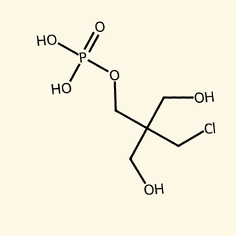 O=P(O)(O)OCC(CO)(CO)CCl